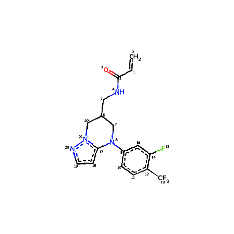 C=CC(=O)NCC1CN(c2ccc(C(F)(F)F)c(F)c2)c2ccnn2C1